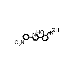 O=[N+]([O-])c1cccc(-c2ccc(-c3cccc(/C=N/O)c3O)cn2)c1